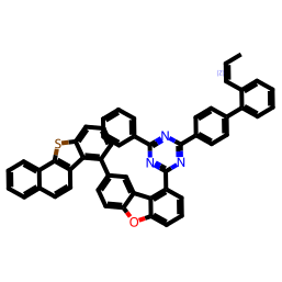 C/C=C\c1ccccc1-c1ccc(-c2nc(-c3ccccc3)nc(-c3cccc4oc5ccc(-c6cccc7sc8c9ccccc9ccc8c67)cc5c34)n2)cc1